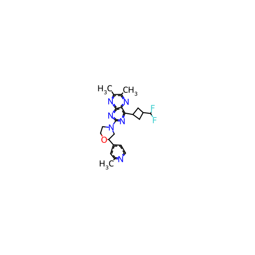 Cc1cc(C2CN(c3nc(C4CC(C(F)F)C4)c4nc(C)c(C)nc4n3)CCO2)ccn1